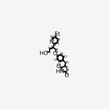 CCc1ccc(C(=CCO)COc2ccc(CC3SC(=O)NC3=O)cc2)nc1